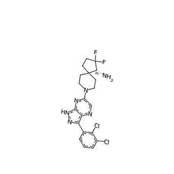 N[C@H]1C(F)(F)CCC12CCN(c1cnc3c(-c4cccc(Cl)c4Cl)n[nH]c3n1)CC2